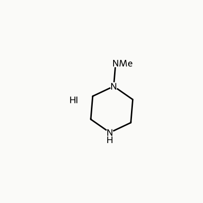 CNN1CCNCC1.I